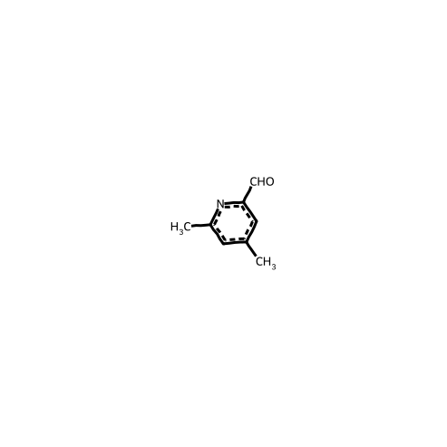 Cc1cc(C)nc(C=O)c1